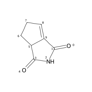 O=C1NC(=O)C2CCC=C12